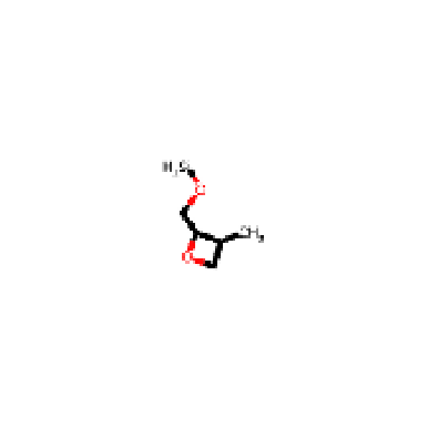 CC1COC1CO[SiH3]